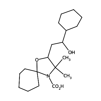 CC1(C)C(CC(O)C2CCCCC2)OC2(CCCCC2)N1C(=O)O